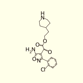 Nc1onc(-c2ccccc2Cl)c1C(=O)C(=O)OCCC1CCNCC1